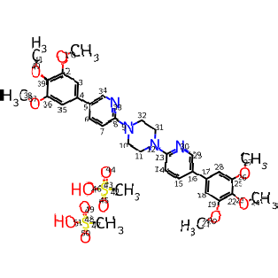 COc1cc(-c2ccc(N3CCN(c4ccc(-c5cc(OC)c(OC)c(OC)c5)cn4)CC3)nc2)cc(OC)c1OC.CS(=O)(=O)O.CS(=O)(=O)O